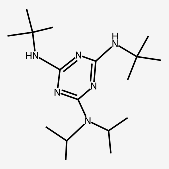 CC(C)N(c1nc(NC(C)(C)C)nc(NC(C)(C)C)n1)C(C)C